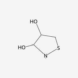 O[C]1[N]SCC1O